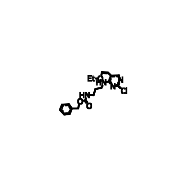 CCO/C=C\c1cnc(Cl)nc1NCCCNC(=O)OCc1ccccc1